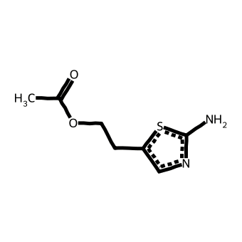 CC(=O)OCCc1cnc(N)s1